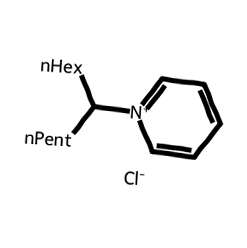 CCCCCCC(CCCCC)[n+]1ccccc1.[Cl-]